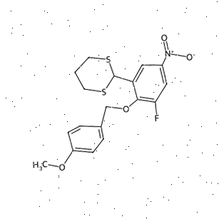 COc1ccc(COc2c(F)cc([N+](=O)[O-])cc2C2SCCCS2)cc1